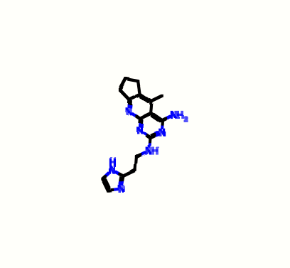 Cc1c2c(nc3nc(NCCc4ncc[nH]4)nc(N)c13)CCC2